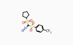 [N-]=[N+]=C(S(=O)(=O)c1ccc(C(F)(F)F)cc1)S(=O)(=O)C1CCCC1